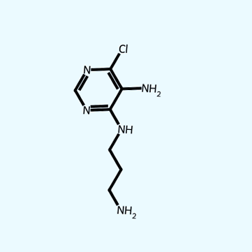 NCCCNc1ncnc(Cl)c1N